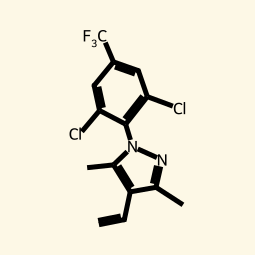 C=Cc1c(C)nn(-c2c(Cl)cc(C(F)(F)F)cc2Cl)c1C